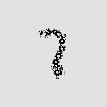 N#Cc1ncc(N2CCC3(CCN(C(=O)c4ccc(N5CCN(CC6(F)CCN(c7ccc8c(c7)C(=O)N(C7CCC(=O)NC7=O)C8=O)CC6)CC5)cc4)CC3)C2)cc1C(F)(F)F